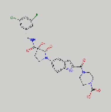 O=C(O)N1CCN(C(=O)c2cc3cc(N4CCC(O)(C(=O)NCc5cc(F)cc(Cl)c5)C4=O)ccc3[nH]2)CC1